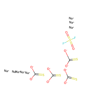 O=S(=O)(F)F.[Na+].[Na+].[Na+].[Na+].[Na+].[Na+].[Na+].[Na+].[O-]C([O-])=S.[O-]C([O-])=S.[O-]C([O-])=S.[O-]C([O-])=S